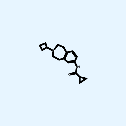 O=C(Nc1ccc2c(c1)CCN(C1CCC1)CC2)C1CC1